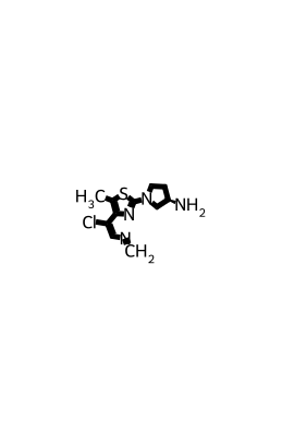 C=N/C=C(/Cl)c1nc(N2CC[C@@H](N)C2)sc1C